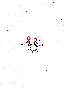 COc1c(I)cccc1C(=O)I